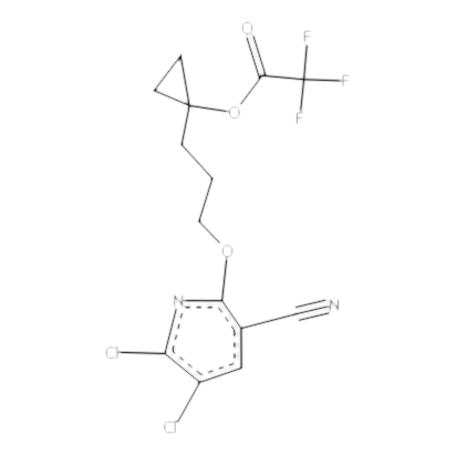 N#Cc1cc(Cl)c(Cl)nc1OCCCC1(OC(=O)C(F)(F)F)CC1